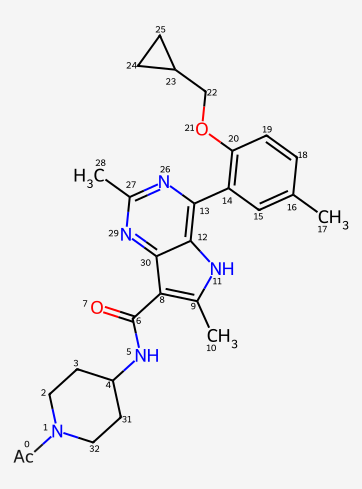 CC(=O)N1CCC(NC(=O)c2c(C)[nH]c3c(-c4cc(C)ccc4OCC4CC4)nc(C)nc23)CC1